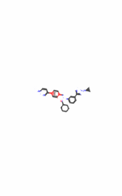 CN(C)c1ccc(C23CCC(CN(C(=O)C4CC[CH]CC4)c4cccc(-c5cnn(C6CC6)c5)c4)(CC2)CC3)cn1